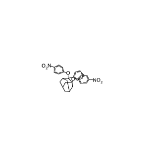 O=[N+]([O-])c1ccc(OC23CC4CC(CC(C4)C2(Oc2ccc([N+](=O)[O-])cc2)c2ccccc2)C3)cc1